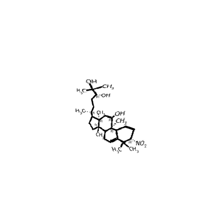 C[C@H](CC[C@@H](O)C(C)(C)O)C1CC[C@@]2(C)C3CC=C4C(CC[C@H]([N+](=O)[O-])C4(C)C)[C@]3(C)[C@H](O)C[C@]12C